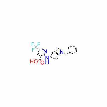 O=C(O)c1cc(C(F)(F)F)cnc1Nc1ccc2c(ccn2Cc2ccccc2)c1